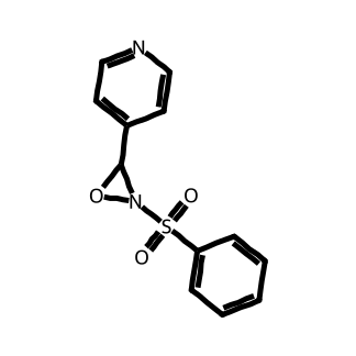 O=S(=O)(c1ccccc1)N1OC1c1ccncc1